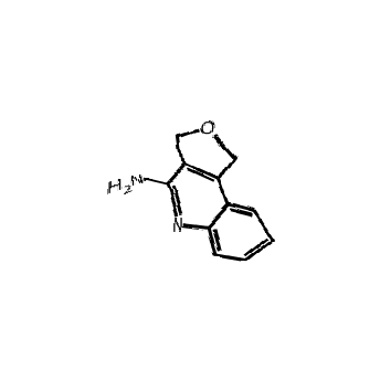 Nc1nc2ccccc2c2c1COC2